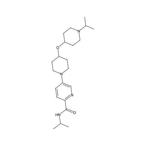 CC(C)NC(=O)c1ccc(N2CCC(OC3CCN(C(C)C)CC3)CC2)cn1